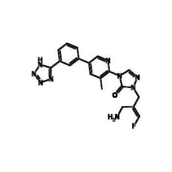 Cc1cc(-c2cccc(-c3nnn[nH]3)c2)cnc1-n1cnn(C/C(=C/F)CN)c1=O